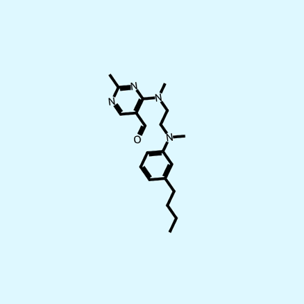 CCCCc1cccc(N(C)CCN(C)c2nc(C)ncc2C=O)c1